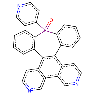 O=P1(c2ccncc2)c2ccccc2-c2c(c3ccncc3c3cnccc23)-c2ccccc21